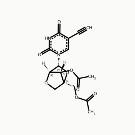 C#Cc1cn([C@@H]2O[C@@]3(COC(C)=O)CO[C@@H]2[C@@H]3OC(C)=O)c(=O)[nH]c1=O